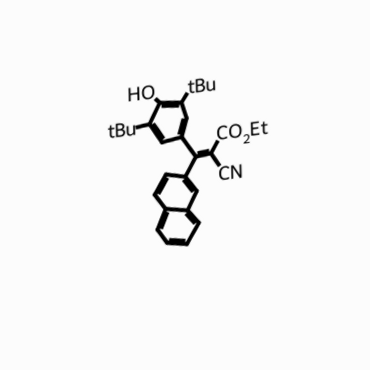 CCOC(=O)C(C#N)=C(c1cc(C(C)(C)C)c(O)c(C(C)(C)C)c1)c1ccc2ccccc2c1